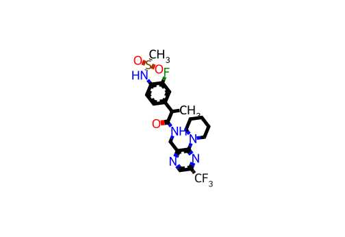 CC(C(=O)NCc1ncc(C(F)(F)F)nc1N1CCCCC1)c1ccc(NS(C)(=O)=O)c(F)c1